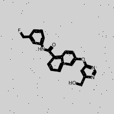 O=C(Nc1cccc(CF)c1)c1cccc2cc(Oc3cc(CO)ncn3)ccc12